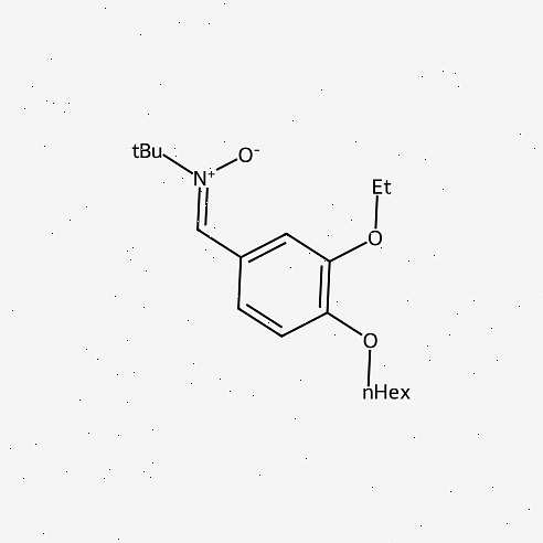 CCCCCCOc1ccc(C=[N+]([O-])C(C)(C)C)cc1OCC